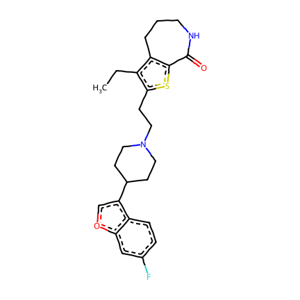 CCc1c(CCN2CCC(c3coc4cc(F)ccc34)CC2)sc2c1CCCNC2=O